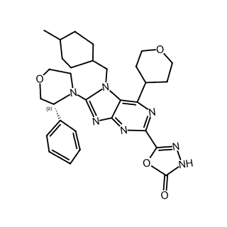 CC1CCC(Cn2c(N3CCOC[C@H]3c3ccccc3)nc3nc(-c4n[nH]c(=O)o4)nc(C4CCOCC4)c32)CC1